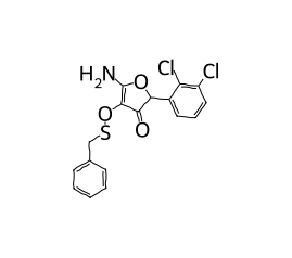 NC1=C(OSCc2ccccc2)C(=O)C(c2cccc(Cl)c2Cl)O1